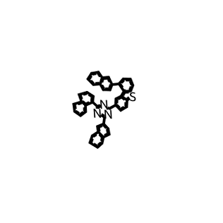 c1ccc2cc(-c3nc(-c4ccc5sc6cccc(-c7ccc8ccccc8c7)c6c5c4)nc(-c4cccc5ccccc45)n3)ccc2c1